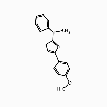 COc1ccc(-c2csc(N(C)c3ccccc3)n2)cc1